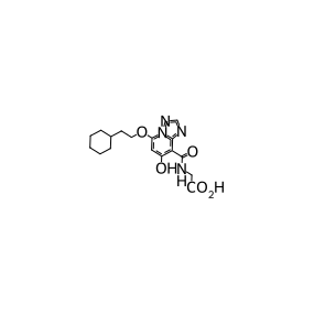 O=C(O)CNC(=O)c1c(O)cc(OCCC2CCCCC2)n2ncnc12